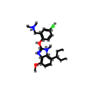 CCC(CC)c1ccc(OC)c2nc(Oc3ccc(Cl)cc3CN(C)C)n(C)c12